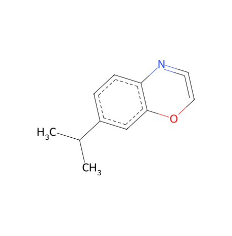 CC(C)c1ccc2c(c1)OC=C=N2